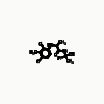 Cc1c(Cl)ccc(NC(C)C(=O)NC(C)(C#N)C(C)C)c1Cl